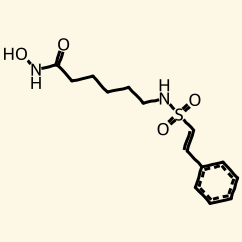 O=C(CCCCCNS(=O)(=O)C=Cc1ccccc1)NO